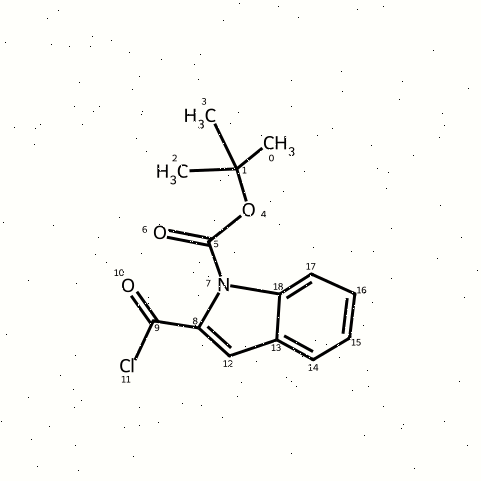 CC(C)(C)OC(=O)n1c(C(=O)Cl)cc2ccccc21